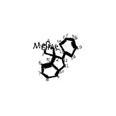 COCC1(COC)c2ccccc2CC1c1ccccc1